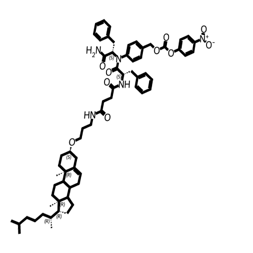 CC(C)CCC[C@@H](C)[C@H]1CCC2C3CC=C4C[C@@H](OCCCNC(=O)CCC(=O)N[C@@H](Cc5ccccc5)C(=O)N(c5ccc(COC(=O)Oc6ccc([N+](=O)[O-])cc6)cc5)[C@@H](Cc5ccccc5)C(N)=O)CC[C@]4(C)C3CC[C@@]21C